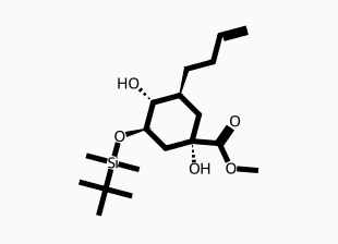 C=CCC[C@H]1C[C@@](O)(C(=O)OC)C[C@@H](O[Si](C)(C)C(C)(C)C)[C@@H]1O